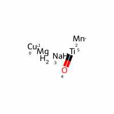 [Cu].[MgH2].[Mn].[NaH].[O]=[Ti]